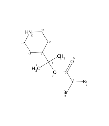 CC(C)(OC(=O)C(Br)Br)C1CCNCC1